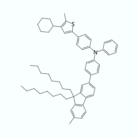 CCCCCCCCC1(CCCCCCCC)c2cc(C)ccc2-c2ccc(-c3ccc(N(c4ccccc4)c4ccc(-c5cc(C6CCCCC6)c(C)s5)cc4)cc3)cc21